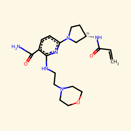 C=CC(=O)N[C@H]1CCN(c2ccc(C(N)=O)c(NCCN3CCOCC3)n2)C1